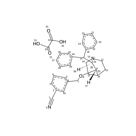 N#Cc1cccc(CO[C@H]2C3CCN(CC3)[C@@H]2C(c2ccccc2)c2ccccc2)c1.O=C(O)C(=O)O